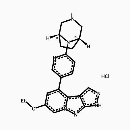 CCOc1cc(-c2ccc(N3[C@@H]4CC[C@H]3CNC4)nc2)c2c3cn[nH]c3nn2c1.Cl